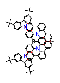 CC(C)(C)c1cc2c3c(c1)N(c1c(-c4ccccc4)cccc1C1C=CC=CC1)c1cc(-n4c5ccc(C(C)(C)C)cc5c5cc(C(C)(C)C)ccc54)ccc1B3c1ccc(-n3c4ccc(C(C)(C)C)cc4c4cc(C(C)(C)C)ccc43)cc1N2c1c(-c2ccccc2)cccc1-c1ccccc1